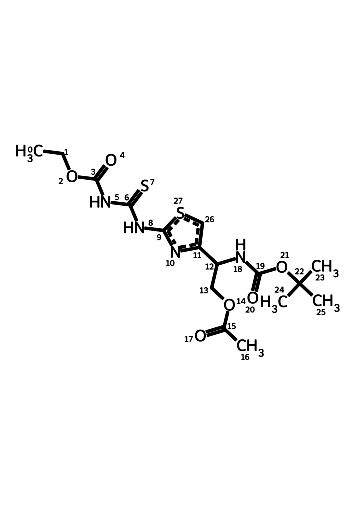 CCOC(=O)NC(=S)Nc1nc(C(COC(C)=O)NC(=O)OC(C)(C)C)cs1